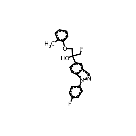 Cc1ccccc1OCC(O)(CF)c1ccc2c(cnn2-c2ccc(F)cc2)c1